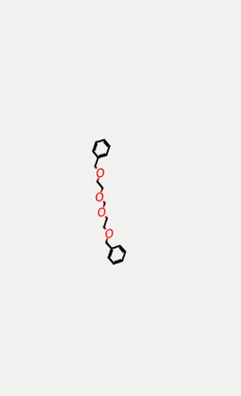 c1ccc(COCCOCOCCOCc2ccccc2)cc1